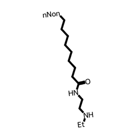 CCCCCCCCCCCCCCCCCC(=O)NCCNCC